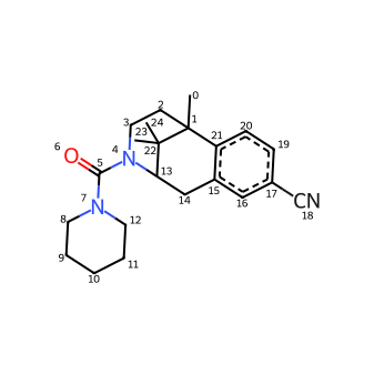 CC12CCN(C(=O)N3CCCCC3)C(Cc3cc(C#N)ccc31)C2(C)C